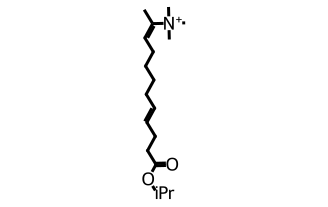 CC(=CCCCCC=CCCC(=O)OC(C)C)[N+](C)(C)C